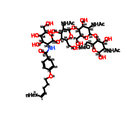 CCCCCC/C=C\CCCOc1ccc(C(=O)NC2C(OC3C(CO)OC(OC4C(CO)OC(OC5C(COC)OC(O)C(NC(C)=O)C5O)C(NC(C)=O)C4O)C(NC(C)=O)C3O)OC(CO)C(O)C2O)cc1